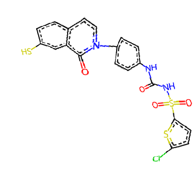 O=C(Nc1ccc(-n2ccc3ccc(S)cc3c2=O)cc1)NS(=O)(=O)c1ccc(Cl)s1